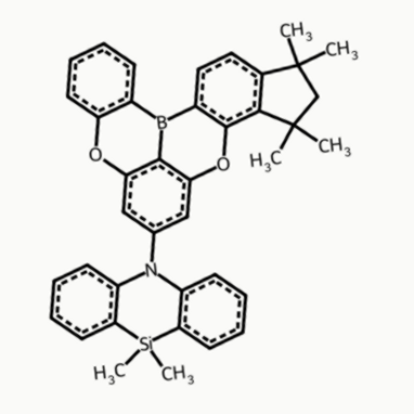 CC1(C)CC(C)(C)c2c1ccc1c2Oc2cc(N3c4ccccc4[Si](C)(C)c4ccccc43)cc3c2B1c1ccccc1O3